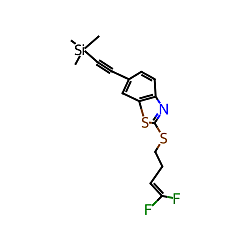 C[Si](C)(C)C#Cc1ccc2nc(SCCC=C(F)F)sc2c1